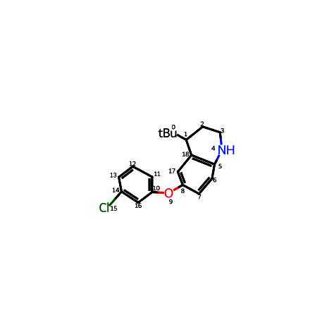 CC(C)(C)C1CCNc2ccc(Oc3cccc(Cl)c3)cc21